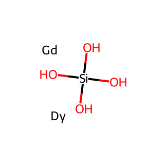 O[Si](O)(O)O.[Dy].[Gd]